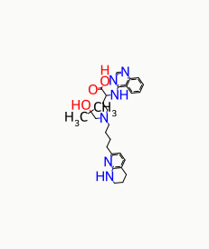 CC(C)(O)CN(CCCCc1ccc2c(n1)NCCC2)CCC(Nc1ncnc2ccccc12)C(=O)O